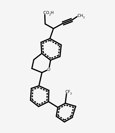 CC#CC(CC(=O)O)c1ccc2c(c1)CCC(c1cccc(-c3ccccc3C(F)(F)F)c1)O2